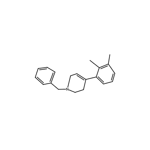 Cc1cccc(C2=CCN(Cc3ccccc3)CC2)c1C